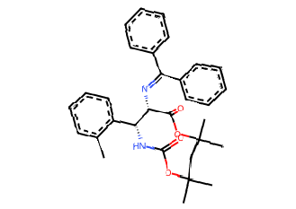 Cc1ccccc1[C@@H](NC(=O)OC(C)(C)C)[C@H](N=C(c1ccccc1)c1ccccc1)C(=O)OC(C)(C)C